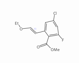 CCO/C=C/c1cc(Cl)cc(F)c1C(=O)OC